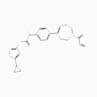 C=CC(=O)N1CCC=C(c2ccc(C(C)C(=O)Nc3cc(C4CC4)[nH]n3)cc2)CC1